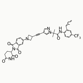 C=C=Cc1cc(C(F)(F)F)ccc1NC(=O)C(C)(C)n1cc(C#CC2CN(c3ccc4c(c3)C(=O)N(C3CCC(=O)NC3=O)C4=O)C2)cn1